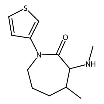 CNC1C(=O)N(c2ccsc2)CCCC1C